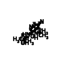 CC(C)Nc1c(C(=O)NC[C@@H](F)C(C)(C)O)cnn2cc(C#N)cc12